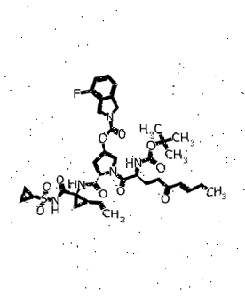 C=CC1C[C@]1(NC(=O)[C@@H]1C[C@@H](OC(=O)N2Cc3cccc(F)c3C2)CN1C(=O)[C@H](CCC(=O)/C=C/CC)NC(=O)OC(C)(C)C)C(=O)NS(=O)(=O)C1CC1